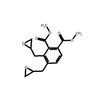 COC(=O)c1ccc(CC2CO2)c(CC2CO2)c1C(=O)OC